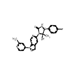 Cc1cc(-n2ncc3cc(N4C(=O)N[C@@H](c5ccc(F)cc5)C4(C)O)ncc32)ccn1